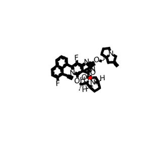 C#Cc1c(F)ccc2cccc(-c3nc4c5c(nc(OC[C@]67CCCN6CC(=C)C7)nc5c3F)N3C[C@H]5CC[C@@H]([C@H]3[C@H](C)O4)N5C(=O)OC(C)(C)C)c12